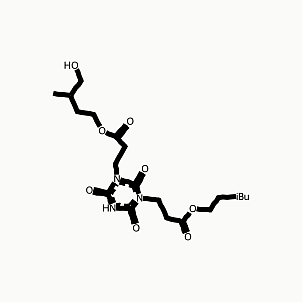 CCC(C)CCOC(=O)CCn1c(=O)[nH]c(=O)n(CCC(=O)OCCC(C)CO)c1=O